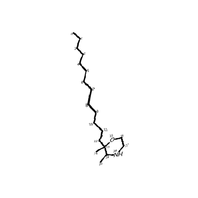 CCCCCCCCCCCCCC1(C)OCCNC1C